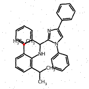 CC(C)c1cccc(C(C)C)c1NC(c1ccccc1)c1nc(-c2ccccc2)cn1-c1ccccc1